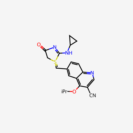 CC(C)Oc1c(C#N)cnc2ccc(/C=S3/CC(=O)N=C3NC3CC3)cc12